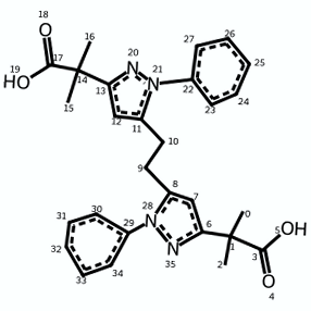 CC(C)(C(=O)O)c1cc(CCc2cc(C(C)(C)C(=O)O)nn2-c2ccccc2)n(-c2ccccc2)n1